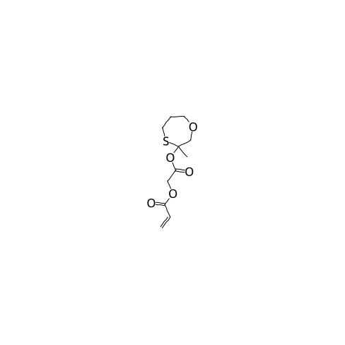 C=CC(=O)OCC(=O)OC1(C)COCCCS1